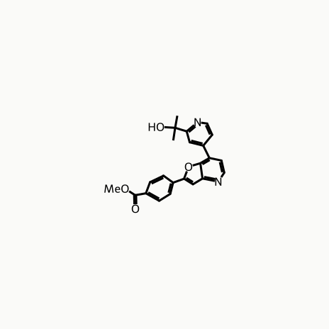 COC(=O)c1ccc(-c2cc3nccc(-c4ccnc(C(C)(C)O)c4)c3o2)cc1